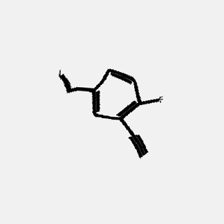 C#Cc1cc(CI)ccc1F